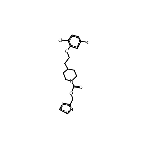 O=C(OCc1nccs1)N1CCC(CCOc2cc(Cl)ccc2Cl)CC1